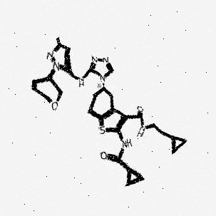 Cc1cc(Nc2nncn2[C@H]2CCc3sc(NC(=O)C4CC4)c(C(=O)NCC4CC4)c3C2)n(C2CCOC2)n1